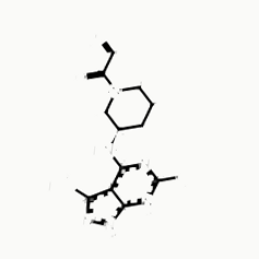 C=CC(=O)N1CCC[C@@H](Nc2nc(Cl)[nH]c3nnc(C)c2-3)C1